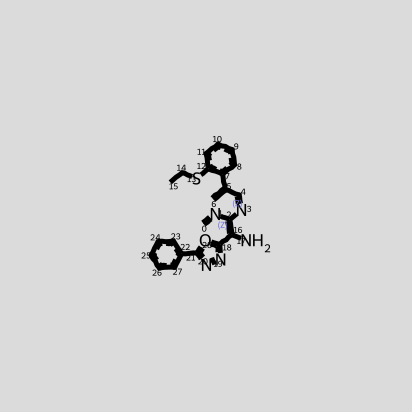 C=NC(/N=C\C(=C)c1ccccc1SCC)=C(/N)c1nnc(-c2ccccc2)o1